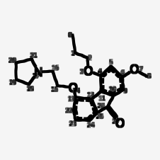 CCCOc1cc(OC)cc2c1-c1c(OCCN3CCCC3)cccc1C2=O